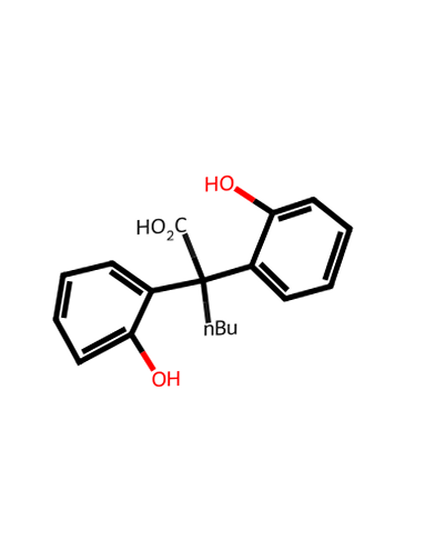 CCCCC(C(=O)O)(c1ccccc1O)c1ccccc1O